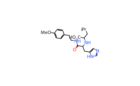 COc1ccc(CCNC(=O)C(Cc2cnc[nH]2)NC(CC(C)C)C(=O)O)cc1